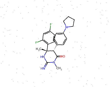 CN1C(=N)N[C@](C)(c2ccc(F)cc2F)[C@H](c2ccc(N3CCCC3)cc2)C1=O